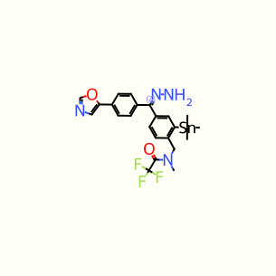 CN(Cc1ccc(/C(=N\N)c2ccc(-c3cnco3)cc2)c[c]1[Sn]([CH3])([CH3])[CH3])C(=O)C(F)(F)F